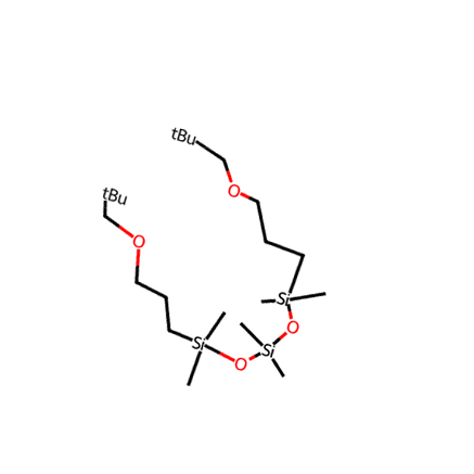 CC(C)(C)COCCC[Si](C)(C)O[Si](C)(C)O[Si](C)(C)CCCOCC(C)(C)C